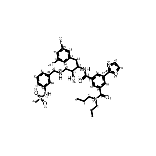 CCCN(CCC)C(=O)c1cc(C(=O)NC(Cc2cc(F)cc(F)c2)C(O)CNCc2cccc(NS(C)(=O)=O)c2)cc(-c2ncco2)c1